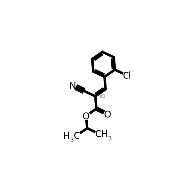 CC(C)OC(=O)/C(C#N)=C/c1ccccc1Cl